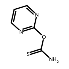 NC(=S)Oc1ncccn1